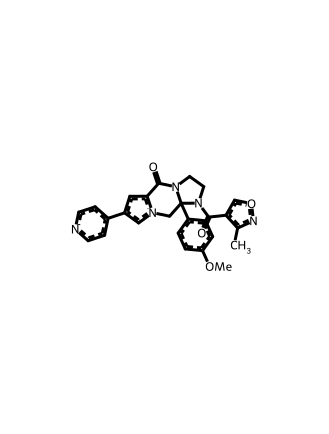 COc1ccc(C23Cn4cc(-c5ccncc5)cc4C(=O)N2CCN3C(=O)c2conc2C)cc1